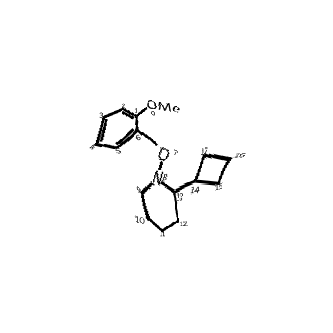 COc1ccccc1ON1CCCCC1C1CCC1